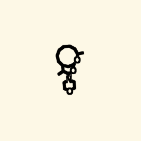 CC1CCCCCCC2CC(O1)O[C@@H](N1CCOCC1)C2C